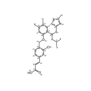 Cc1csc(SN(CC(C)C)c2cc(C)c(C)cc2OCc2ccc(C=CC(=O)O)cc2Cl)n1